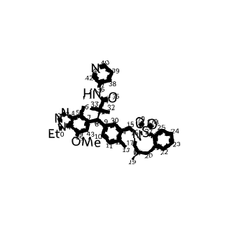 CCn1nnc2c(C)c([C@H](c3ccc(C)c(CN4C[C@H](C)Cc5ccccc5S4(=O)=O)c3)C(C)(C)C(=O)Nc3cccnc3)cc(OC)c21